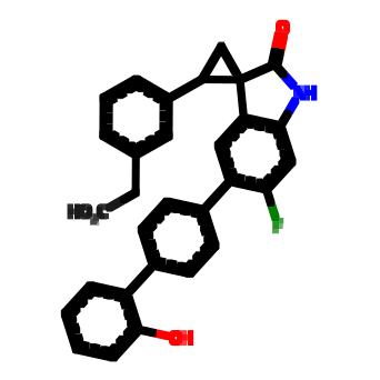 O=C(O)Cc1cccc(C2CC23C(=O)Nc2cc(F)c(-c4ccc(-c5ccccc5O)cc4)cc23)c1